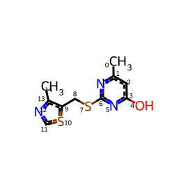 Cc1cc(O)nc(SCc2scnc2C)n1